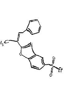 CCS(=O)(=O)c1ccc2oc(/C(C)=C\c3ccccc3)nc2c1